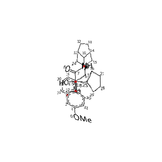 COc1ccc(C(O)(C(=O)NC2C3CCC2CN(Cc2ccccc2)C3)C2CCCC2)cc1